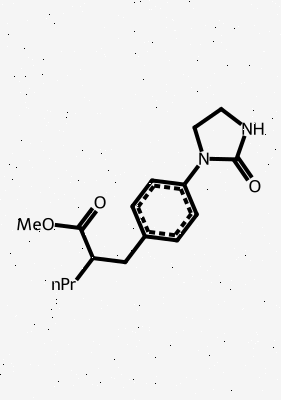 CCCC(Cc1ccc(N2CCNC2=O)cc1)C(=O)OC